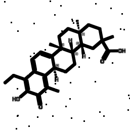 CCC1=C(O)C(=O)C(C)=C2C1=CC=C1[C@H]2CC[C@H]2[C@H]3CC(C)(C(=O)O)CC[C@]3(C)CC[C@@]12C